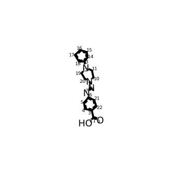 O=C(O)c1ccc(N=NN2CCN(c3ccccc3)CC2)cc1